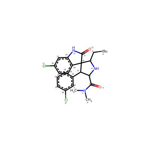 CN(C)C(=O)C1NC(CC(C)(C)C)C2(C(=O)Nc3cc(Cl)ccc32)C1c1cccc(Cl)c1